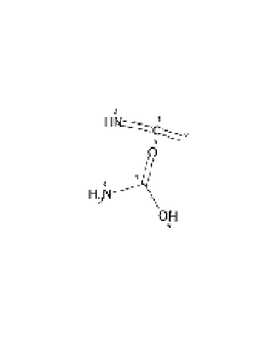 C=C=N.NC(=O)O